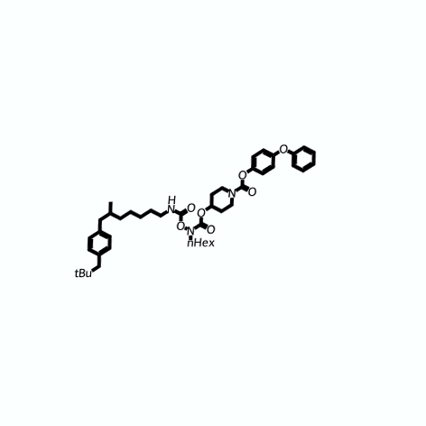 CCCCCCN(OC(=O)NCCCCCC(C)Cc1ccc(CC(C)(C)C)cc1)C(=O)OC1CCN(C(=O)Oc2ccc(Oc3ccccc3)cc2)CC1